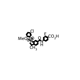 COc1ccc(Cl)cc1S(=O)(=O)N1CC(C)c2ccc(C(=O)Nc3ccc(C(=O)O)c(F)c3)cc21